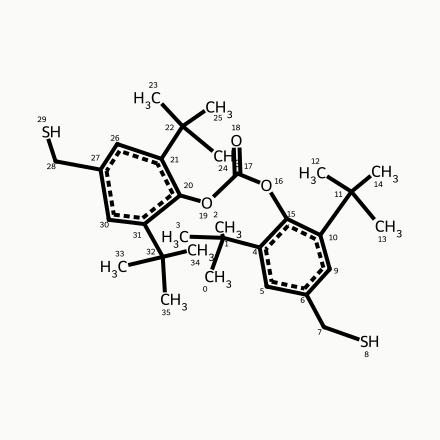 CC(C)(C)c1cc(CS)cc(C(C)(C)C)c1OC(=O)Oc1c(C(C)(C)C)cc(CS)cc1C(C)(C)C